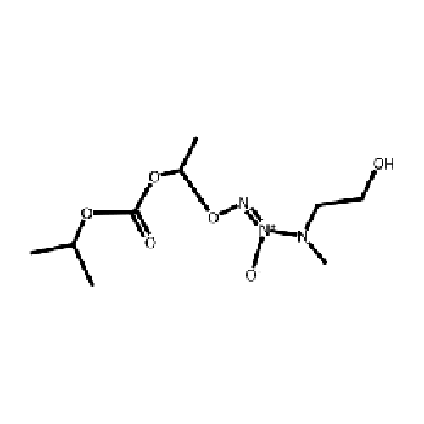 CC(C)OC(=O)OC(C)ON=[N+]([O-])N(C)CCO